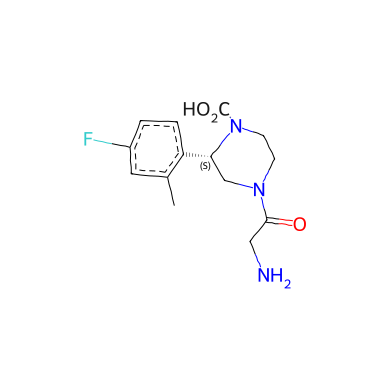 Cc1cc(F)ccc1[C@H]1CN(C(=O)CN)CCN1C(=O)O